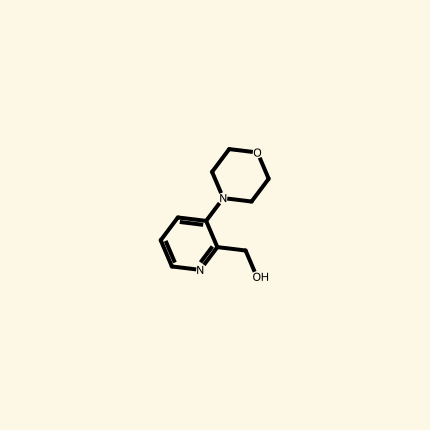 OCc1ncccc1N1CCOCC1